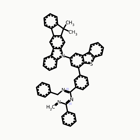 C=N/C(=N\C(=N/Cc1ccccc1)c1cccc(-c2cc(-n3c4ccccc4c4cc5c(cc43)C(C)(C)c3ccccc3-5)cc3c2sc2ccccc23)c1)c1ccccc1